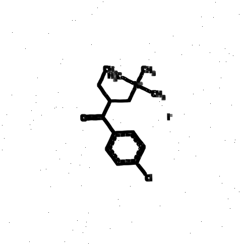 CCC(C[N+](C)(C)C)C(=O)c1ccc(Cl)cc1.[I-]